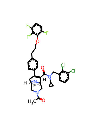 CC(=O)N1C[C@H]2CC(c3ccc(CCCOc4c(F)ccc(F)c4F)cc3)=C(C(=O)N(Cc3cccc(Cl)c3Cl)C3CC3)[C@@H](C1)N2